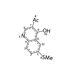 CSc1ccc2ncc(C(C)=O)c(O)c2c1